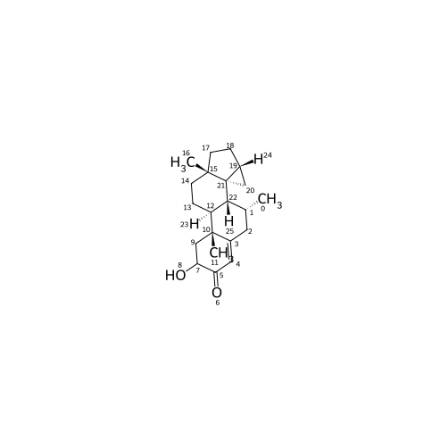 C[C@@H]1CC2=CC(=O)C(O)C[C@]2(C)[C@H]2CC[C@]3(C)CC[C@@H]4C[C@@]43[C@H]12